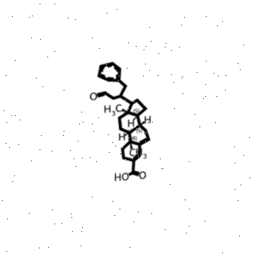 C[C@]12CCC(C(=O)O)=CC1=CC[C@@H]1[C@@H]2CC[C@]2(C)C(C(CC=O)Cc3ccccc3)CC[C@@H]12